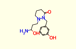 NC(O)CCN1CCCC(=O)N1Cc1cccc(O)c1